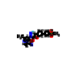 CC(C)C[C@H](NC(=O)c1oc2cc(-c3ccc(S(C)(=O)=O)cc3)ccc2c1F)C(=O)NC1(C#N)CC1